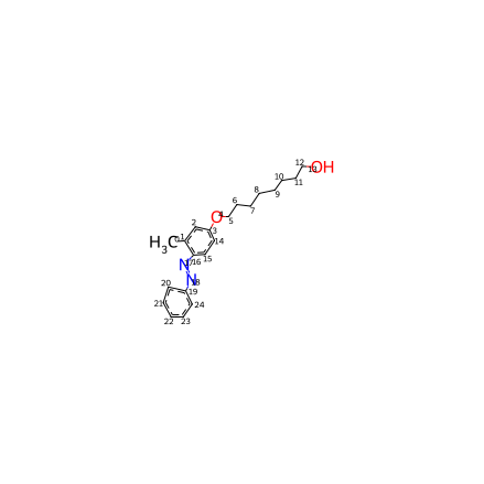 Cc1cc(OCCCCCCCCO)ccc1N=Nc1ccccc1